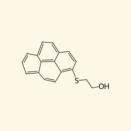 OCCSc1ccc2ccc3cccc4ccc1c2c34